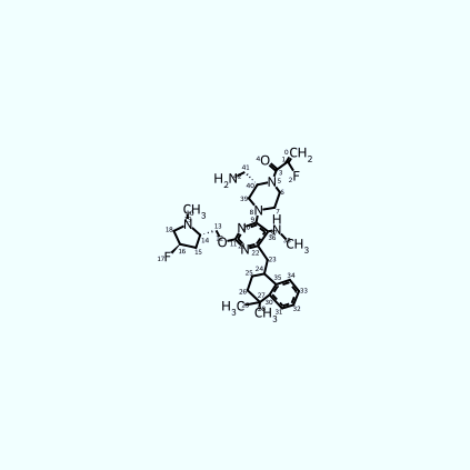 C=C(F)C(=O)N1CCN(c2nc(OC[C@@H]3C[C@@H](F)CN3C)nc(CC3CCC(C)(C)c4ccccc43)c2NC)C[C@@H]1CN